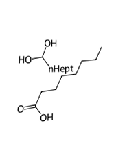 CCCCCCCC(=O)O.CCCCCCCC(O)O